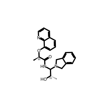 C[C@H](O)C(NC(=O)[C@@H](C)Oc1cccc2cccnc12)N1Cc2ccccc2C1